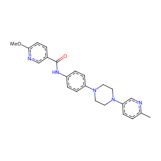 COc1ccc(C(=O)Nc2ccc(N3CCN(c4ccc(C)nc4)CC3)cc2)cn1